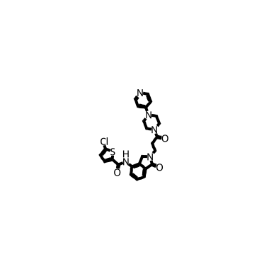 O=C(Nc1cccc2c1CN(CCC(=O)N1CCN(c3ccncc3)CC1)C2=O)c1ccc(Cl)s1